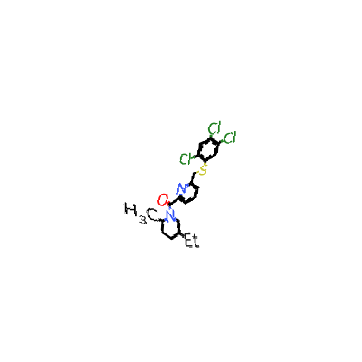 CCC1CCC(C)N(C(=O)c2cccc(CSc3cc(Cl)c(Cl)cc3Cl)n2)C1